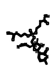 Cc1ccn([C@@H]2O[C@](CN=[N+]=[N-])(COP(=O)(OCCSC(=O)C(C)(C)C)OCCSC(=O)C(C)(C)C)[C@@H](C)[C@H]2F)c(=O)n1